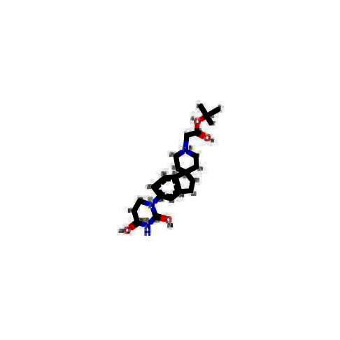 CC(C)(C)OC(=O)CN1CCC2(CCc3cc(N4CCC(=O)NC4=O)ccc32)CC1